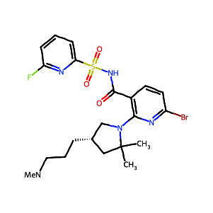 CNCCC[C@@H]1CN(c2nc(Br)ccc2C(=O)NS(=O)(=O)c2cccc(F)n2)C(C)(C)C1